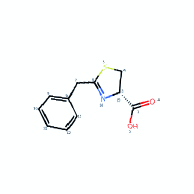 O=C(O)[C@H]1CSC(Cc2ccccc2)=N1